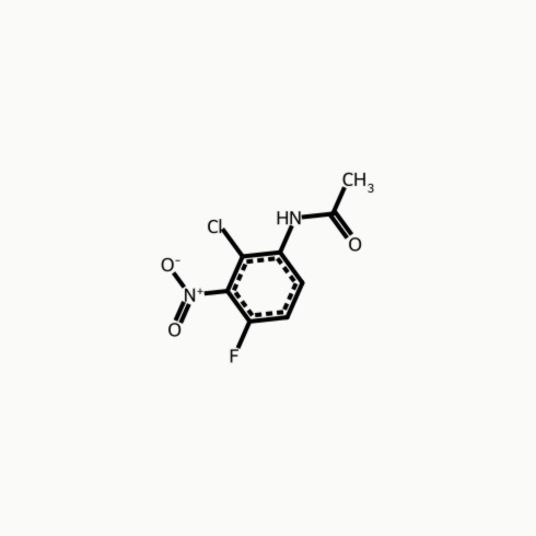 CC(=O)Nc1ccc(F)c([N+](=O)[O-])c1Cl